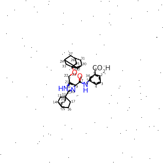 O=C(O)c1cccc(NC(=O)c2nc(C34CCC(CC3)CC4)[nH]c2COC23CC4CC(CC(C4)C2)C3)c1